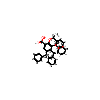 CC(Oc1c(C(=O)O)cc(C(C)c2ccccc2)c(C(C)c2ccccc2)c1C(C)c1ccccc1)c1ccccc1